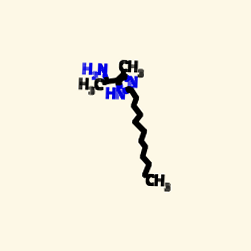 CCCCCCCCCCCc1nc(C)c(C(C)N)[nH]1